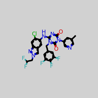 Cc1cncc(-n2c(=O)nc(Nc3cc4cn(CC(F)F)nc4cc3Cl)n(Cc3cc(F)c(F)c(F)c3)c2=O)c1